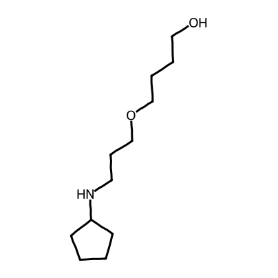 OCCCCOCCCNC1CCCC1